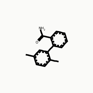 Cc1ccc(C)c(-c2ccccc2C(N)=O)c1